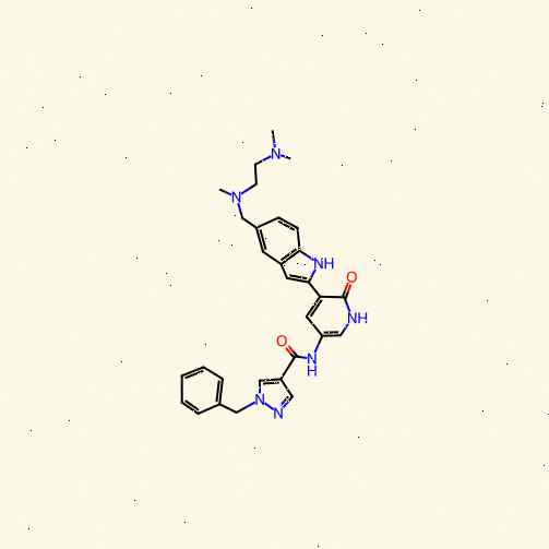 CN(C)CCN(C)Cc1ccc2[nH]c(-c3cc(NC(=O)c4cnn(Cc5ccccc5)c4)c[nH]c3=O)cc2c1